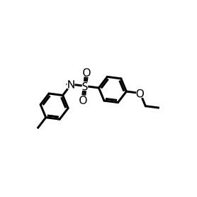 CCOc1ccc(S(=O)(=O)[N]c2ccc(C)cc2)cc1